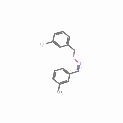 Cc1cccc(/[C]=N\OCc2cccc(C(F)(F)F)c2)c1